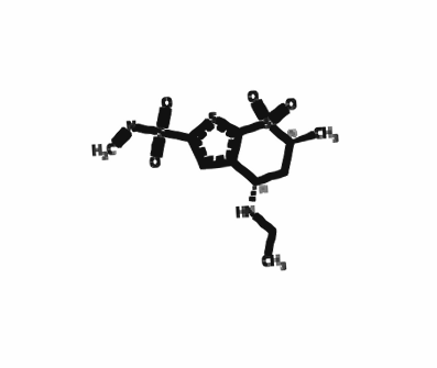 C=NS(=O)(=O)c1cc2c(s1)S(=O)(=O)[C@@H](C)C[C@@H]2NCC